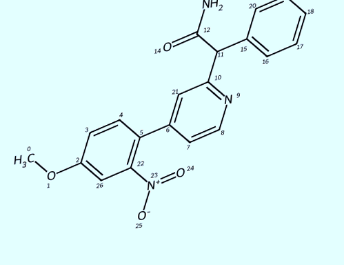 COc1ccc(-c2ccnc(C(C(N)=O)c3ccccc3)c2)c([N+](=O)[O-])c1